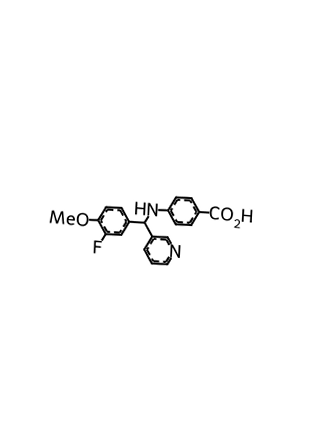 COc1ccc(C(Nc2ccc(C(=O)O)cc2)c2cccnc2)cc1F